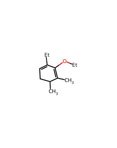 CCOC1=C(C)C(C)CC=C1CC